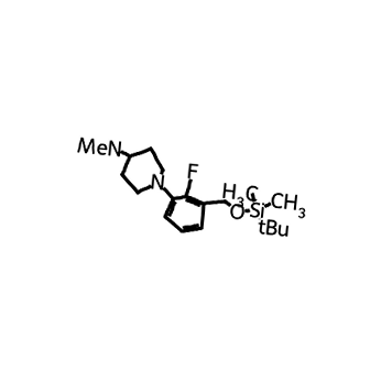 CNC1CCN(c2cccc(CO[Si](C)(C)C(C)(C)C)c2F)CC1